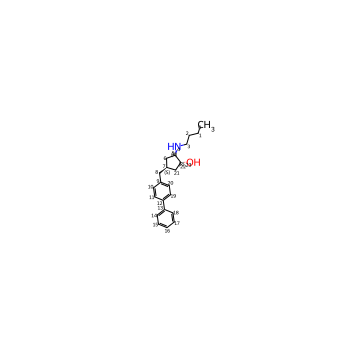 CCCCN[C@@H]1C[C@H](Cc2ccc(-c3ccccc3)cc2)C[C@H]1O